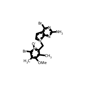 COc1c(C)c(Br)[n+]([O-])c(Cn2ccc3c(Br)nc(N)nc32)c1C